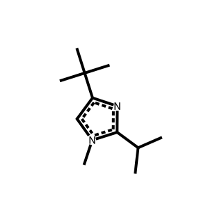 CC(C)c1nc(C(C)(C)C)cn1C